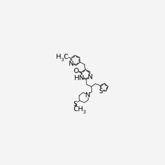 CSC1CCN(CC(Cc2ncc(Cc3ccc(C)nc3)c(=O)[nH]2)Cc2cccs2)CC1